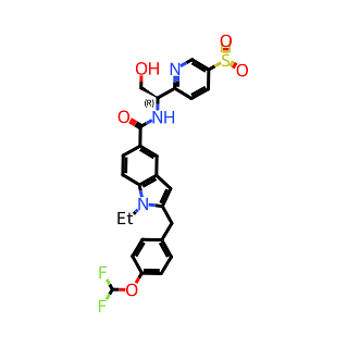 CCn1c(Cc2ccc(OC(F)F)cc2)cc2cc(C(=O)N[C@@H](CO)c3ccc([SH](=O)=O)cn3)ccc21